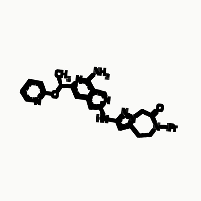 CC(C)N1CCc2cc(Nc3cc4cc([C@H](C)Oc5ccccn5)nc(N)c4cn3)nn2CC1=O